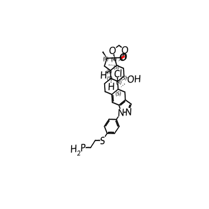 C[C@@H]1C[C@H]2[C@@H]3CCC4=Cc5c(cnn5-c5ccc(SCCP)cc5)C[C@]4(C)[C@@]3(Cl)[C@@H](O)C[C@]2(C)[C@]12OCOC21COCO1